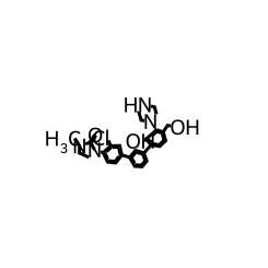 CN1CCN(c2ccc(-c3cccc(-c4ccc(CO)c(N5CCNCC5)c4)c3O)cc2Cl)C1=O